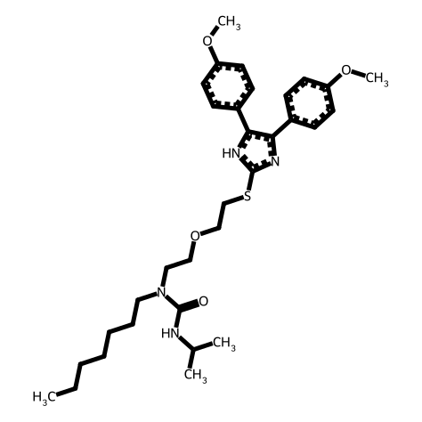 CCCCCCCN(CCOCCSc1nc(-c2ccc(OC)cc2)c(-c2ccc(OC)cc2)[nH]1)C(=O)NC(C)C